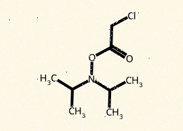 CC(C)N(OC(=O)CCl)C(C)C